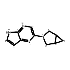 c1cc2nc(N3CC4CC4C3)cnc2[nH]1